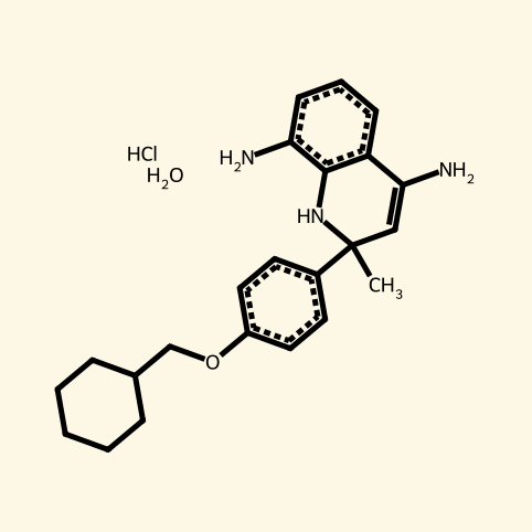 CC1(c2ccc(OCC3CCCCC3)cc2)C=C(N)c2cccc(N)c2N1.Cl.O